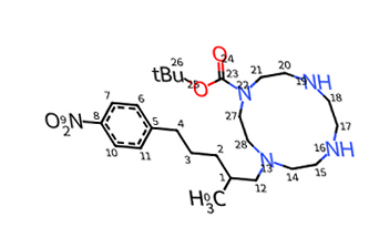 CC(CCCc1ccc([N+](=O)[O-])cc1)CN1CCNCCNCCN(C(=O)OC(C)(C)C)CC1